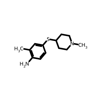 Cc1cc(SC2CCN(C)CC2)ccc1N